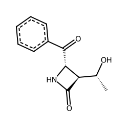 C[C@@H](O)[C@H]1C(=O)N[C@@H]1C(=O)c1ccccc1